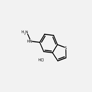 Cl.NNc1ccc2sccc2c1